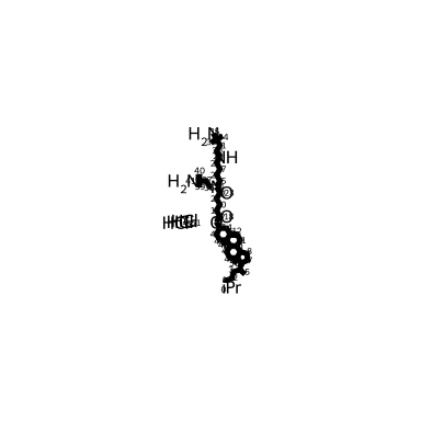 CC(C)CCCC(C)C1CCC2C3CC=C4CC(OC(=O)CCCC(=O)N(CCCCNCCC(C)(C)N)CCC(C)(C)N)CCC4(C)C3CCC12C.Cl.Cl.Cl